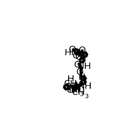 Cc1cccc(C)c1Nc1nn(C)c2nc(Nc3ccc4c(c3)CN(CCOCCNC(=O)C3CCN(c5cccc6c5C(=O)N(C5CCC(=O)NC5=O)C6=O)CC3)CC4)ncc12